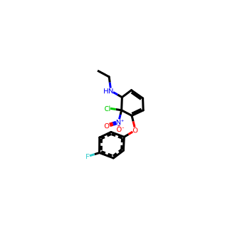 CCNC1C=CC=C(Oc2ccc(F)cc2)C1(Cl)[N+](=O)[O-]